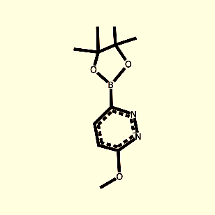 COc1ccc(B2OC(C)(C)C(C)(C)O2)nn1